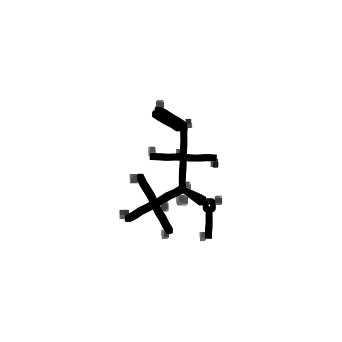 C=CC(C)(C)[C@@H](OC)C(C)(C)C